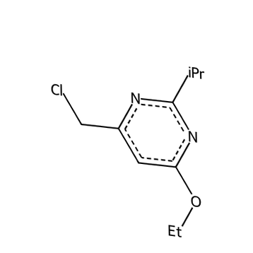 CCOc1cc(CCl)nc(C(C)C)n1